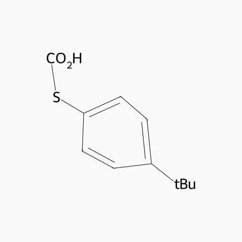 CC(C)(C)c1ccc(SC(=O)O)cc1